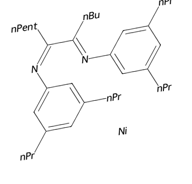 CCCCCC(=Nc1cc(CCC)cc(CCC)c1)C(CCCC)=Nc1cc(CCC)cc(CCC)c1.[Ni]